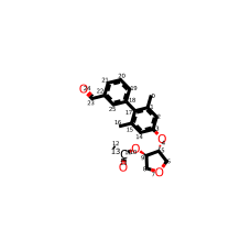 Cc1cc(O[C@@H]2COC[C@H]2O[13C](C)=O)cc(C)c1-c1cccc(C=O)c1